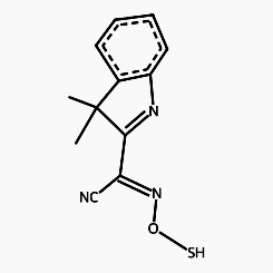 CC1(C)C(/C(C#N)=N/OS)=Nc2ccccc21